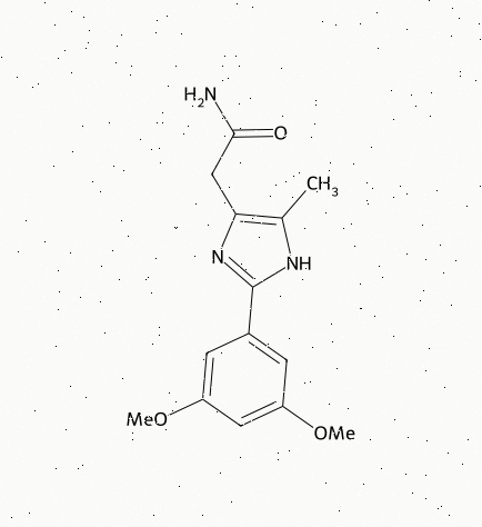 COc1cc(OC)cc(-c2nc(CC(N)=O)c(C)[nH]2)c1